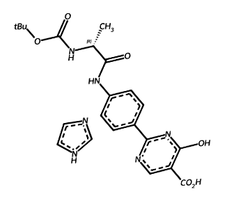 C[C@@H](NC(=O)OC(C)(C)C)C(=O)Nc1ccc(-c2ncc(C(=O)O)c(O)n2)cc1.c1c[nH]cn1